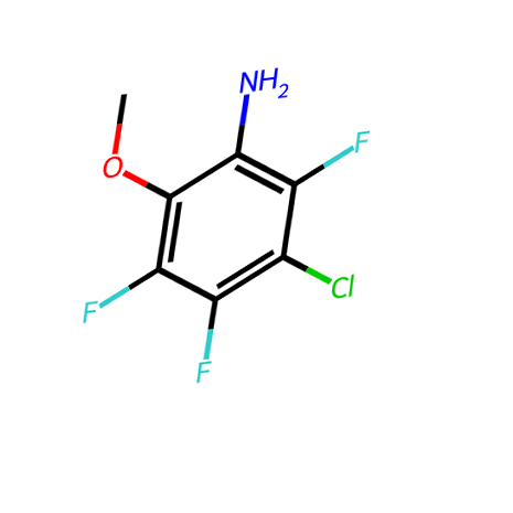 COc1c(N)c(F)c(Cl)c(F)c1F